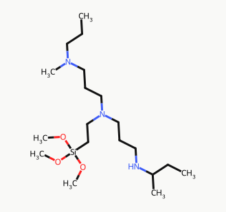 CCCN(C)CCCN(CCCNC(C)CC)CC[Si](OC)(OC)OC